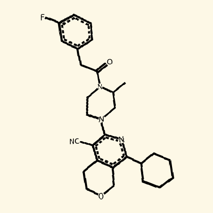 CC1CN(c2nc(C3CCCCC3)c3c(c2C#N)CCOC3)CCN1C(=O)Cc1cccc(F)c1